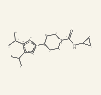 CC(C)c1cn(C2CCN(C(=O)NC3CC3)CC2)nc1C(C)C